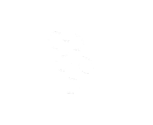 c1ccc(-c2cccc(-c3cccc4c5ccccc5c5ccccc5c34)c2)cc1